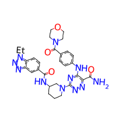 CCn1nnc2cc(C(=O)NC3CCCN(c4nnc(C(N)=O)c(Nc5ccc(C(=O)N6CCOCC6)cc5)n4)C3)ccc21